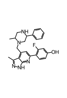 Cc1n[nH]c2nc(-c3ccc(O)cc3F)cc(CN3CC(c4ccccc4)NCC3C)c12